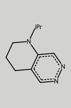 CC(C)N1CCCc2cnncc21